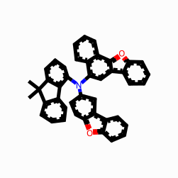 CC1(C)c2ccccc2-c2c(N(c3ccc4oc5ccccc5c4c3)c3cc4c5ccccc5oc4c4ccccc34)cccc21